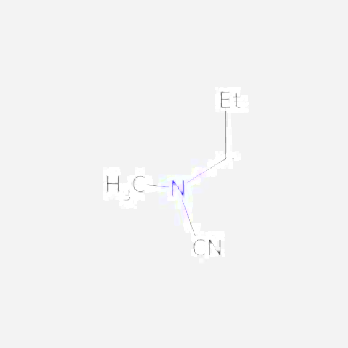 CC[CH]N(C)C#N